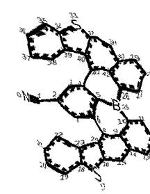 N#Cc1cc2c3c(c1)-c1c4c(cccc4cc4sc5ccccc5c14)B3c1cccc3cc4sc5ccccc5c4c-2c13